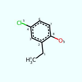 CCc1cc(Cl)ccc1[O]